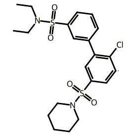 CCN(CC)S(=O)(=O)c1cccc(-c2cc(S(=O)(=O)N3CCCCC3)c[c]c2Cl)c1